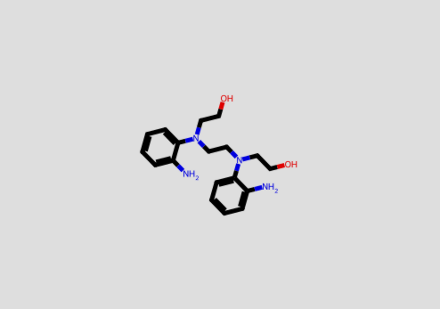 Nc1ccccc1N(CCO)CCN(CCO)c1ccccc1N